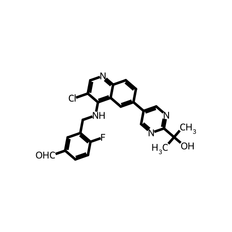 CC(C)(O)c1ncc(-c2ccc3ncc(Cl)c(NCc4cc(C=O)ccc4F)c3c2)cn1